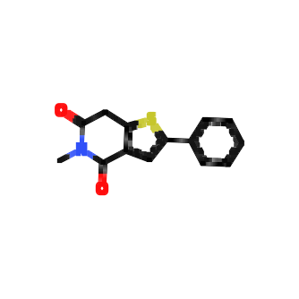 CN1C(=O)Cc2sc(-c3ccccc3)cc2C1=O